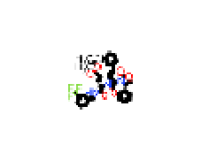 CC(C)(C)OC(=O)CC[C@@H](C(=O)NCc1cccc(C(F)(F)F)c1)N1C(=O)C(N2C(=O)OC[C@@H]2c2ccccc2)C1C=Cc1ccccc1